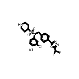 Cl.O=S(=O)(C1CCNCC1)N(Cc1ccc(-c2nnc(C(F)F)o2)cc1)c1cccc(Cl)c1